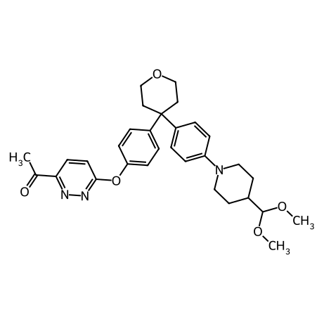 COC(OC)C1CCN(c2ccc(C3(c4ccc(Oc5ccc(C(C)=O)nn5)cc4)CCOCC3)cc2)CC1